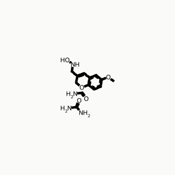 COc1ccc2c(c1)C=C(CNO)CO2.NC(N)=O.NC=O